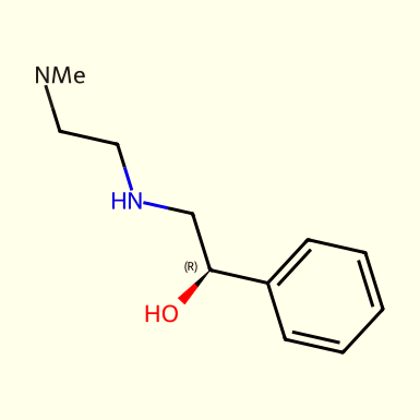 CNCCNC[C@H](O)c1ccccc1